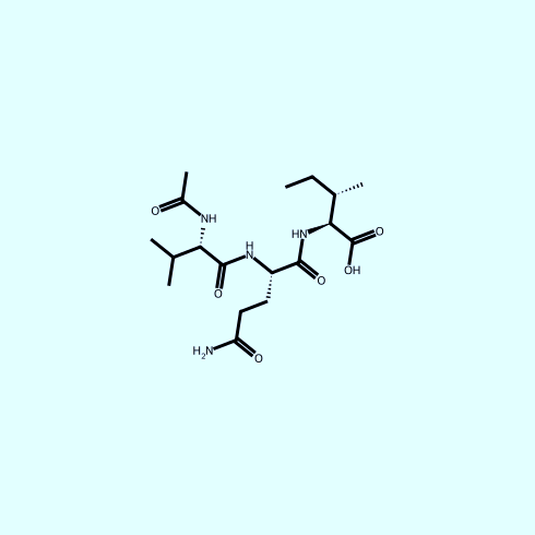 CC[C@H](C)[C@H](NC(=O)[C@H](CCC(N)=O)NC(=O)[C@@H](NC(C)=O)C(C)C)C(=O)O